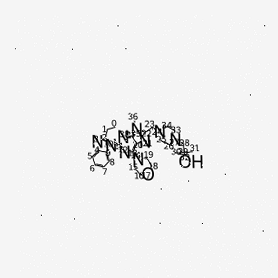 CCc1nc2ccccc2n1-c1nc(N2CCOCC2)c2nc(CN3CCN(CC(C)(C)O)CC3)n(C)c2n1